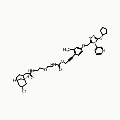 CC[C@H]1C[C@H]2CCC(CC(=O)NCCOCCNC(=O)OCC#Cc3ccc(OCc4nnc(SC5CCCC5)n4-c4cccnc4)cc3C)[C@H](C2)C1